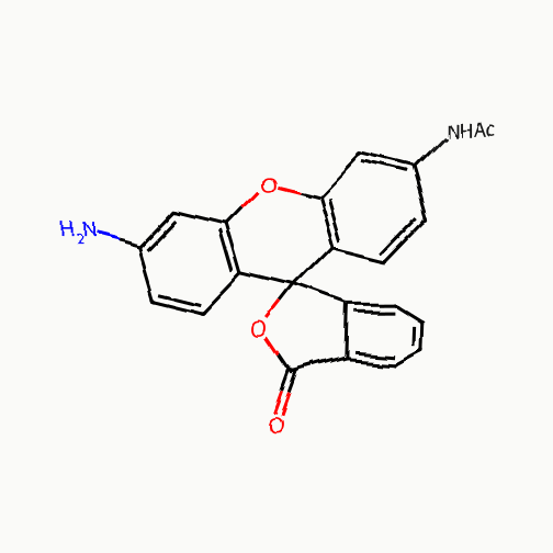 CC(=O)Nc1ccc2c(c1)Oc1cc(N)ccc1C21OC(=O)c2ccccc21